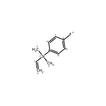 C=C[Si](C)(C)c1ccc(F)cc1